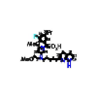 COCCN(CCCCCc1ccc2c(n1)NCCC2)[C@@H]1CCN([C@@H](C(=O)O)c2cc(C(C)C)cc(F)c2OC)C1